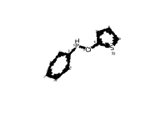 c1ccc(POc2cccs2)cc1